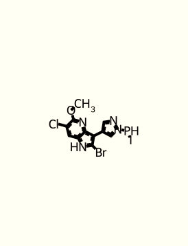 COc1nc2c(-c3cnn(PI)c3)c(Br)[nH]c2cc1Cl